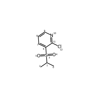 CC(C)S(=O)(=O)c1cccnc1Cl